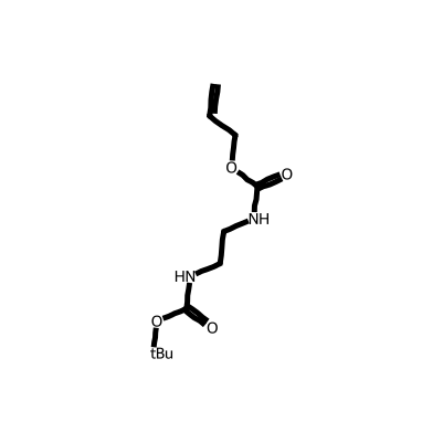 C=CCOC(=O)NCCNC(=O)OC(C)(C)C